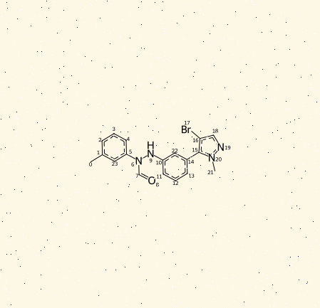 Cc1cccc(N(C=O)Nc2cccc(-c3c(Br)cnn3C)c2)c1